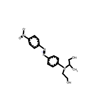 CC(CO)N(CCO)c1ccc(/N=N/c2ccc([N+](=O)[O-])cc2)cc1